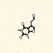 Cn1c(=O)c2c(CC=O)coc2n(C)c1=O